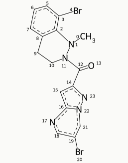 CN1c2c(Br)cccc2CCN1C(=O)c1cc2ncc(Br)cn2n1